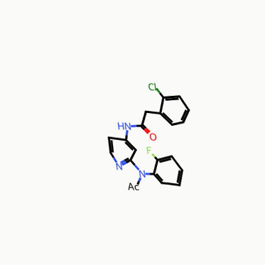 CC(=O)N(c1cc(NC(=O)Cc2ccccc2Cl)ccn1)c1ccccc1F